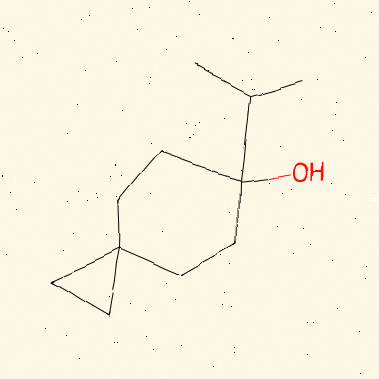 CC(C)C1(O)CCC2(CC2)CC1